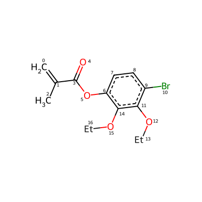 C=C(C)C(=O)Oc1ccc(Br)c(OCC)c1OCC